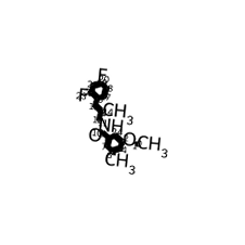 CCOc1cc(C)cc(C(=O)NC/C(C)=C/c2ccc(F)cc2F)c1